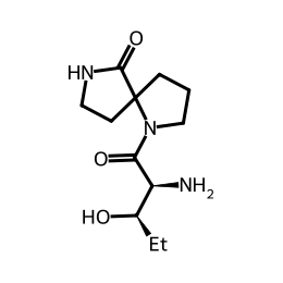 CC[C@@H](O)[C@H](N)C(=O)N1CCCC12CCNC2=O